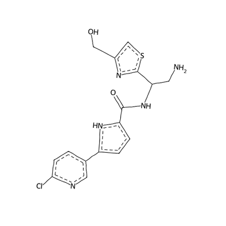 NCC(NC(=O)c1ccc(-c2ccc(Cl)nc2)[nH]1)c1nc(CO)cs1